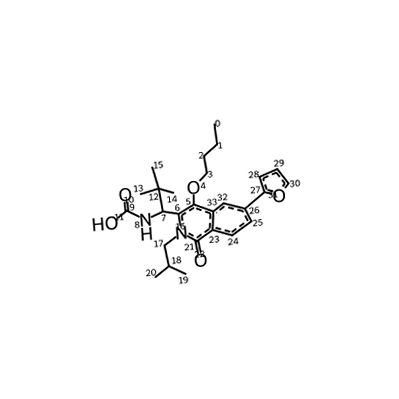 CCCCOc1c(C(NC(=O)O)C(C)(C)C)n(CC(C)C)c(=O)c2ccc(-c3ccco3)cc12